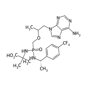 CC(Cn1cnc2c(N)ncnc21)OCP(=O)(N[C@@H](C)c1ccc(C(F)(F)F)cc1)NC(C)(C)C(=O)O